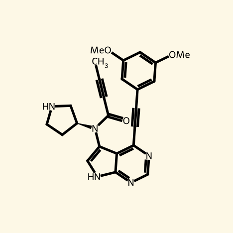 CC#CC(=O)N(c1c[nH]c2ncnc(C#Cc3cc(OC)cc(OC)c3)c12)[C@H]1CCNC1